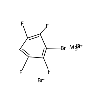 Fc1cc(F)c(F)c(Br)c1F.[Br-].[Br-].[Mg+2]